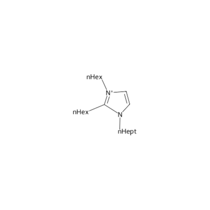 CCCCCCCn1cc[n+](CCCCCC)c1CCCCCC